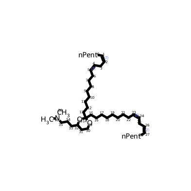 CCCCC/C=C\C/C=C\CCCCCCCCC1(CCCCCCCC/C=C\C/C=C\CCCCC)OCCC(CCCN(C)C)O1